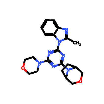 Cc1nc2ccccc2n1-c1nc(N2CCOCC2)nc(N2C3CCC2COC3)n1